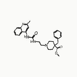 COC(=O)C1(Cc2ccccc2)CCN(CCNC(=O)Nc2cc(C)nc3ccccc23)CC1